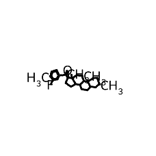 Cc1ccc(C(=O)C2CCC3C4CCC5CC(C)CCC5(C)C4CCC23C)cc1F